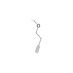 C#CCCO[CH2]